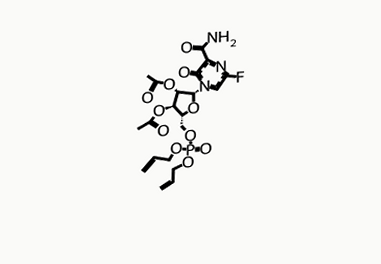 C=CCOP(=O)(OCC=C)OC[C@H]1O[C@@H](n2cc(F)nc(C(N)=O)c2=O)[C@H](OC(C)=O)[C@@H]1OC(C)=O